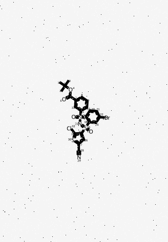 CC(C)(C)OC(=O)c1cccc(S(=O)(=O)N=S(=O)(c2cccc(Br)c2)c2cc(C#N)sc2Cl)c1